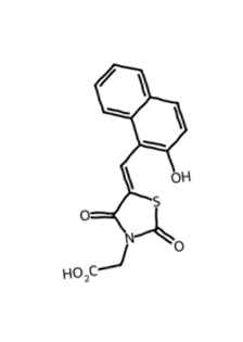 O=C(O)CN1C(=O)SC(=Cc2c(O)ccc3ccccc23)C1=O